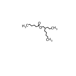 CCCCCC(=O)OCC(CCC)CCCCC